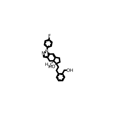 C[C@]12Cc3cnn(-c4ccc(F)cc4)c3C=C1CC[C@@]2(O)CCc1ccccc1CO